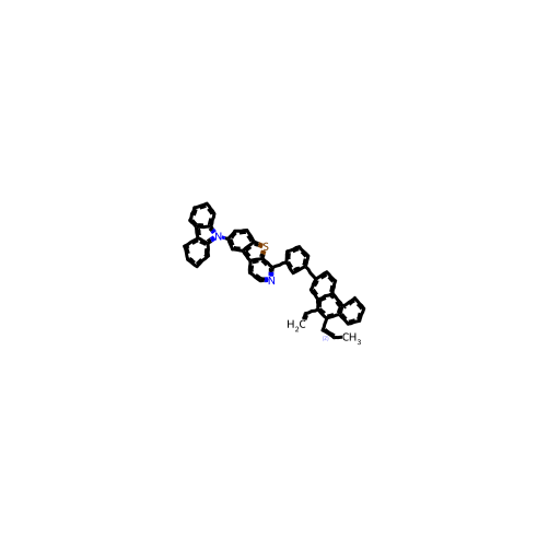 C=Cc1c(/C=C\C)c2ccccc2c2ccc(-c3cccc(-c4nccc5c4sc4ccc(-n6c7ccccc7c7ccccc76)cc45)c3)cc12